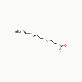 CCCC/C=C/C/C=C/CCCCCCC(=O)Cl